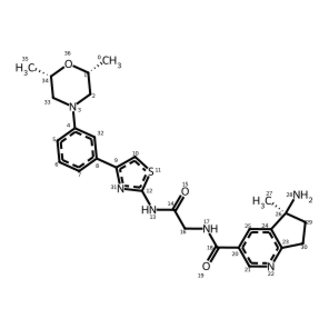 C[C@@H]1CN(c2cccc(-c3csc(NC(=O)CNC(=O)c4cnc5c(c4)[C@@](C)(N)CC5)n3)c2)C[C@H](C)O1